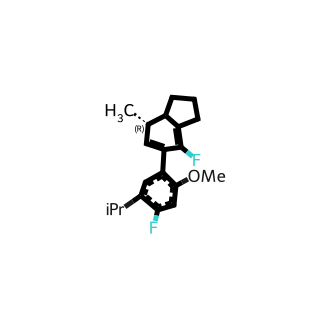 COc1cc(F)c(C(C)C)cc1C1=C[C@H](C)C2CCCC2=C1F